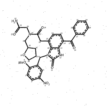 COc1ccc([N+](=O)[O-])cc1Cn1c(=O)[nH]c2c(C(=O)c3ccccc3)ccc(CC(=O)N(CC(N)=O)CC3CCCO3)c21